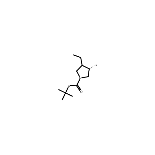 CCC1CN(C(=O)OC(C)(C)C)C[C@H]1C